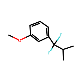 COc1cccc(C(F)(F)C(C)C)c1